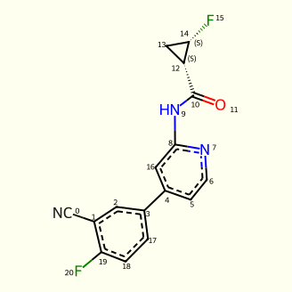 N#Cc1cc(-c2ccnc(NC(=O)[C@@H]3C[C@@H]3F)c2)ccc1F